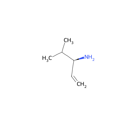 C=C[C@H](N)C(C)C